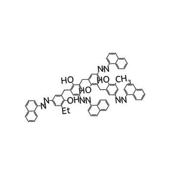 CCc1cc(N=Nc2cccc3ccccc23)cc(Cc2cc(N=Nc3cccc4ccccc34)cc(Cc3cc(N=Nc4cccc5ccccc45)cc(Cc4cc(N=Nc5cccc6ccccc56)cc(C)c4O)c3O)c2O)c1O